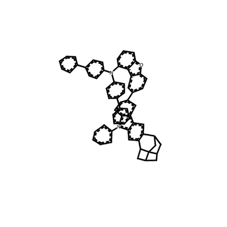 c1ccc(-c2ccc(N(c3ccc(-c4ccccc4)cc3)c3cccc4oc5ccc(-c6ccc7c(c6)c6cc8c(cc6n7-c6ccccc6)C6CC7CC9CC8CC976)cc5c34)cc2)cc1